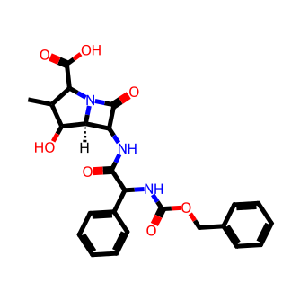 CC1C(O)[C@@H]2C(NC(=O)C(NC(=O)OCc3ccccc3)c3ccccc3)C(=O)N2C1C(=O)O